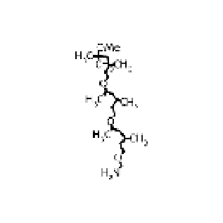 COC(C)(C)CC(C)CCOC(C)CC(C)CCOC(C)CC(C)CCOCN